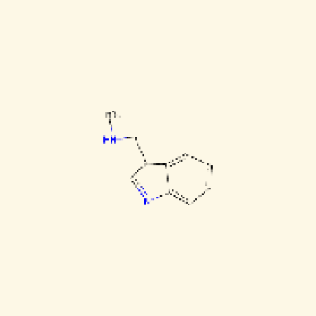 CCCCNCC1C=Nc2ccccc21